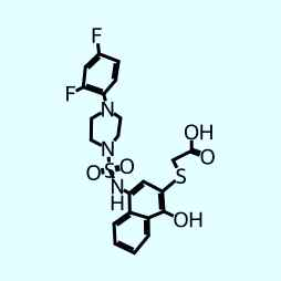 O=C(O)CSc1cc(NS(=O)(=O)N2CCN(c3ccc(F)cc3F)CC2)c2ccccc2c1O